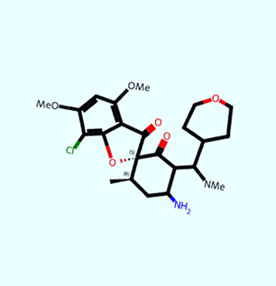 CNC(C1CCOCC1)C1C(=O)[C@@]2(Oc3c(Cl)c(OC)cc(OC)c3C2=O)[C@H](C)CC1N